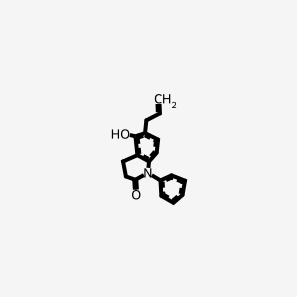 C=CCc1ccc2c(c1O)CCC(=O)N2c1ccccc1